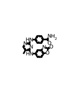 Cc1cnc(Nc2ccc(C(N)=O)cc2)nc1Nc1ccc2c(c1)[N]C(=O)O2